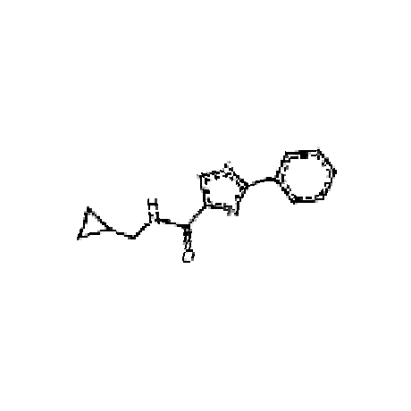 O=C(NCC1CC1)c1csc(-c2ccccc2)n1